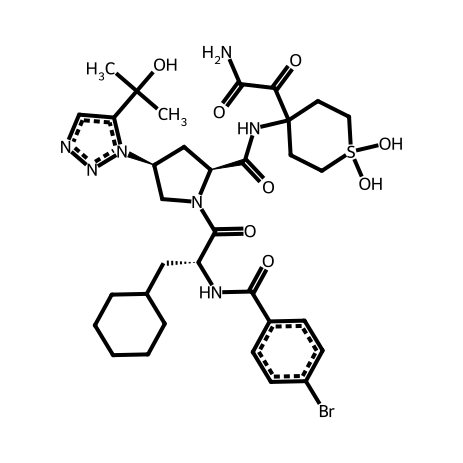 CC(C)(O)c1cnnn1[C@H]1C[C@@H](C(=O)NC2(C(=O)C(N)=O)CCS(O)(O)CC2)N(C(=O)[C@@H](CC2CCCCC2)NC(=O)c2ccc(Br)cc2)C1